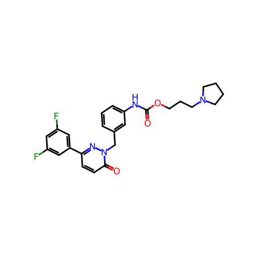 O=C(Nc1cccc(Cn2nc(-c3cc(F)cc(F)c3)ccc2=O)c1)OCCCN1CCCC1